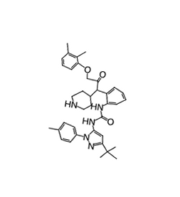 Cc1ccc(-n2nc(C(C)(C)C)cc2NC(=O)Nc2ccccc2C(C(=O)COc2cccc(C)c2C)C2CCNCC2)cc1